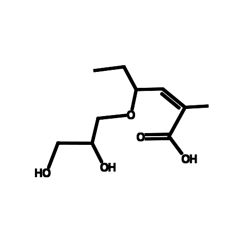 CCC(C=C(C)C(=O)O)OCC(O)CO